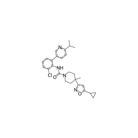 CC(C)c1ccc(-c2cccc(Cl)c2NC(=O)N2CCC(C)(c3cc(C4CC4)on3)CC2)cn1